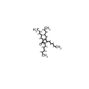 CCCCCC1C(CCCCC)N(CCCCC)C(=O)N1CCCCC